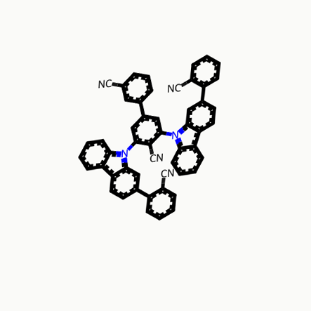 N#Cc1cccc(-c2cc(-n3c4ccccc4c4ccc(-c5ccccc5C#N)cc43)c(C#N)c(-n3c4ccccc4c4ccc(-c5ccccc5C#N)cc43)c2)c1